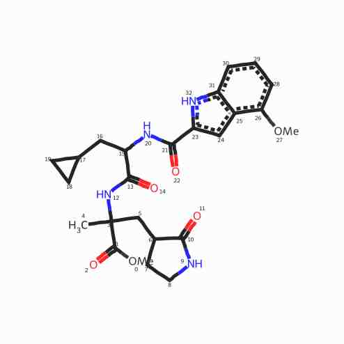 COC(=O)C(C)(CC1CCNC1=O)NC(=O)C(CC1CC1)NC(=O)c1cc2c(OC)cccc2[nH]1